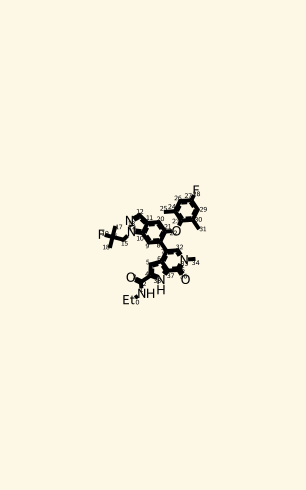 CCNC(=O)c1cc2c(-c3cc4c(cnn4CC(C)(C)F)cc3Oc3c(C)cc(F)cc3C)cn(C)c(=O)c2[nH]1